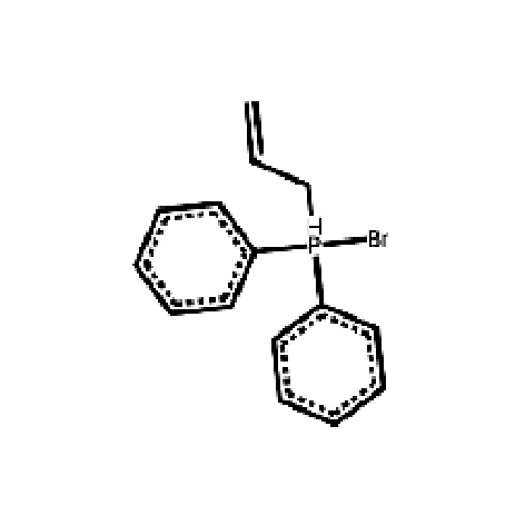 C=CC[PH](Br)(c1ccccc1)c1ccccc1